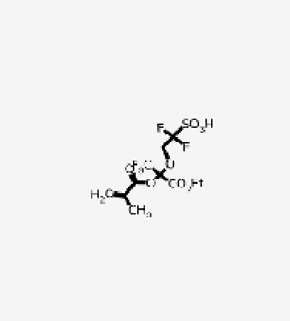 C=C(C)C(=O)OC(OCC(F)(F)S(=O)(=O)O)(C(=O)OCC)C(F)(F)F